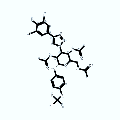 CC(=O)OCC1O[C@H](Sc2ccc(OC(F)(F)F)cc2)C(OC(C)=O)C(n2cc(-c3cc(F)c(F)c(F)c3)nn2)[C@H]1OC(C)=O